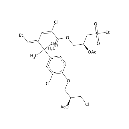 C=C(OC[C@@H](CS(=O)(=O)CC)OC(C)=O)/C(Cl)=C\C(=C/CC)C(C)(C)c1ccc(OC[C@@H](CCl)OC(C)=O)c(Cl)c1